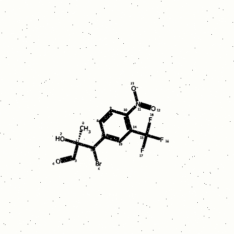 C[C@@](O)(C=O)C(Br)c1ccc([N+](=O)[O-])c(C(F)(F)F)c1